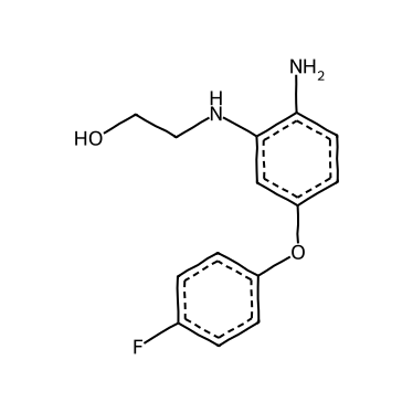 Nc1ccc(Oc2ccc(F)cc2)cc1NCCO